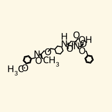 COc1cccc(-c2nc(COCC3CCCC(NC(=O)C[C@H](NC(=O)OCc4ccccc4)C(=O)O)C3)c(C)o2)c1